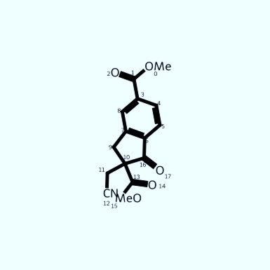 COC(=O)c1ccc2c(c1)CC(CC#N)(C(=O)OC)C2=O